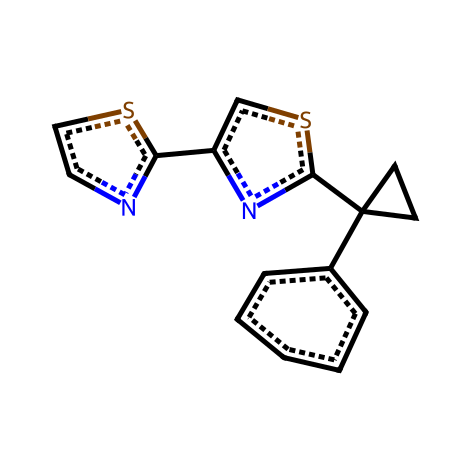 c1ccc(C2(c3nc(-c4nccs4)cs3)CC2)cc1